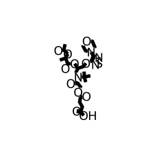 CC(=O)OC(C)C(=O)OC(COc1nsnc1N1CCOCC1)CN(C(=O)COC(=O)CCC(=O)O)C(C)(C)C